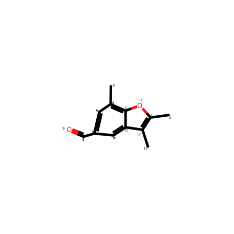 Cc1oc2c(C)cc(C=O)cc2c1C